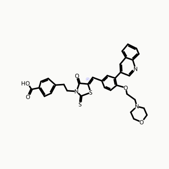 O=C(O)c1ccc(CCN2C(=O)/C(=C/c3ccc(OCCN4CCOCC4)c(-c4cnc5ccccc5c4)c3)SC2=S)cc1